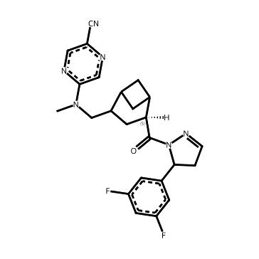 CN(CC1C[C@H](C(=O)N2N=CCC2c2cc(F)cc(F)c2)C2CC1C2)c1cnc(C#N)cn1